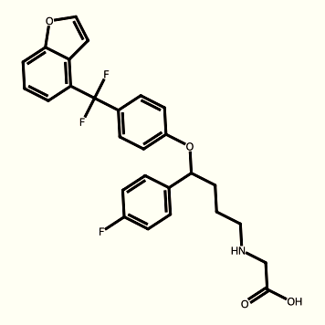 O=C(O)CNCCCC(Oc1ccc(C(F)(F)c2cccc3occc23)cc1)c1ccc(F)cc1